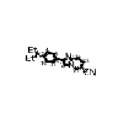 CCN(CC)c1ccc(-c2cn3cc(C#N)ccc3n2)cc1